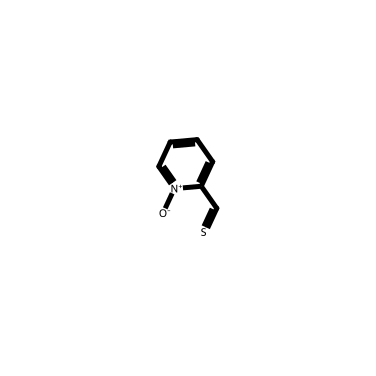 [O-][n+]1ccccc1C=S